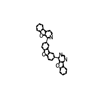 c1ccc2c(c1)oc1c(-c3ccc4oc5ccc(-c6ncnc7c6oc6ccccc67)cc5c4c3)nccc12